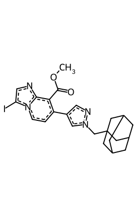 COC(=O)c1c(-c2cnn(CC34CC5CC(CC(C5)C3)C4)c2)ccn2c(I)cnc12